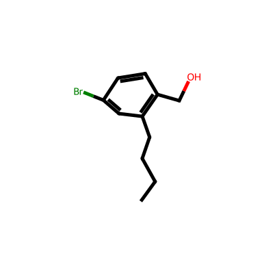 CCCCc1cc(Br)ccc1CO